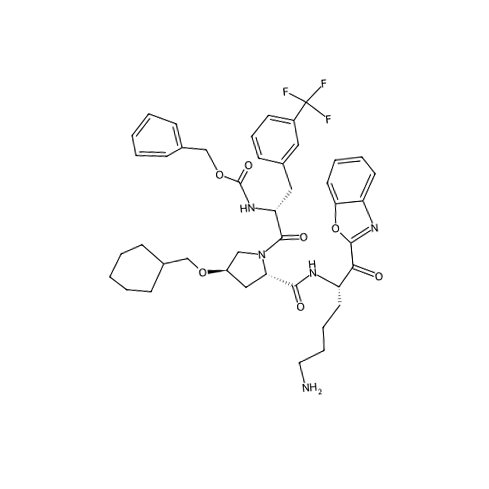 NCCCC[C@H](NC(=O)[C@@H]1C[C@@H](OCC2CCCCC2)CN1C(=O)[C@@H](Cc1cccc(C(F)(F)F)c1)NC(=O)OCc1ccccc1)C(=O)c1nc2ccccc2o1